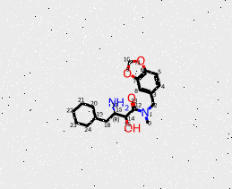 CN(Cc1ccc2c(c1)OCO2)C(=O)C(O)[C@H](N)CC1CCCCC1